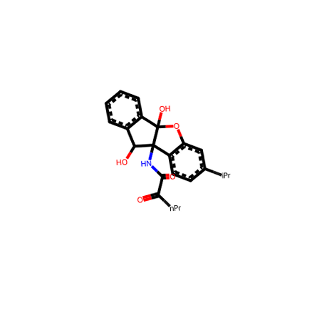 CCCC(=O)C(=O)NC12c3ccc(C(C)C)cc3OC1(O)c1ccccc1C2O